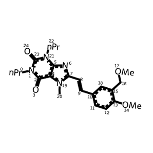 CCCn1c(=O)c2c(nc(/C=C/c3ccc(OC)c(COC)c3)n2C)n(CCC)c1=O